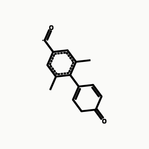 Cc1cc([C]=O)cc(C)c1C1=CCC(=O)C=C1